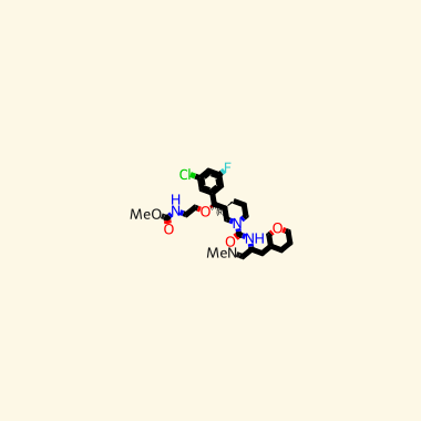 CNCC(CC1CCCOC1)NC(=O)N1CCC[C@@H]([C@@H](OCCNC(=O)OC)c2cc(F)cc(Cl)c2)C1